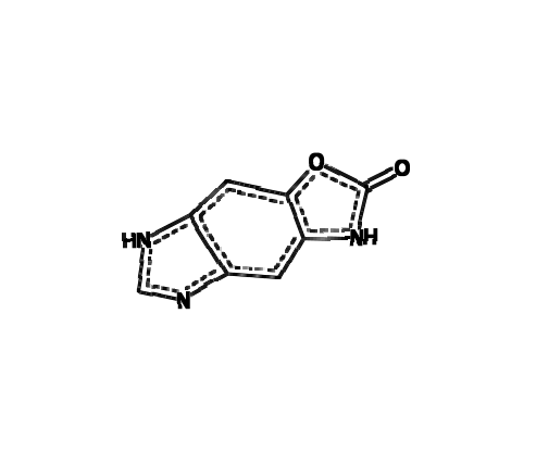 O=c1[nH]c2cc3nc[nH]c3cc2o1